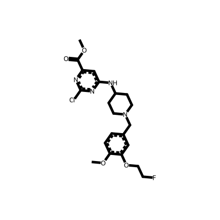 COC(=O)c1cc(NC2CCN(Cc3ccc(OC)c(OCCF)c3)CC2)nc(Cl)n1